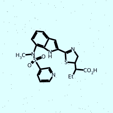 CCC(C(=O)O)C1CN=C(c2cc3cccc(N(C)S(=O)(=O)c4cccnc4)c3[nH]2)S1